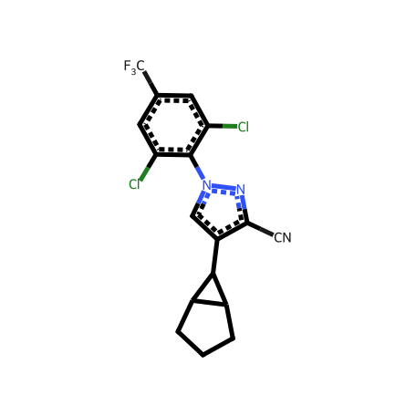 N#Cc1nn(-c2c(Cl)cc(C(F)(F)F)cc2Cl)cc1C1C2CCCC21